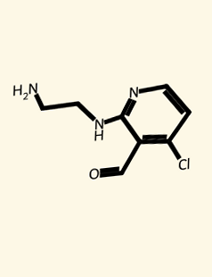 NCCNc1nccc(Cl)c1C=O